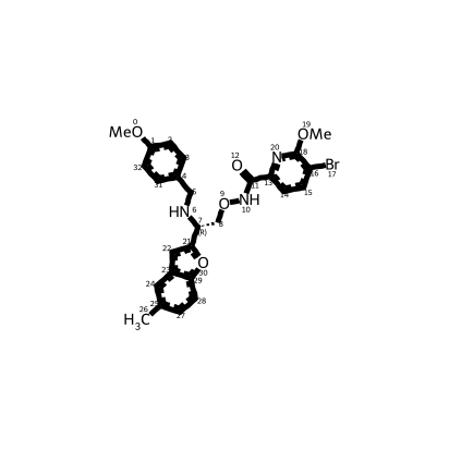 COc1ccc(CN[C@H](CONC(=O)c2ccc(Br)c(OC)n2)c2cc3cc(C)ccc3o2)cc1